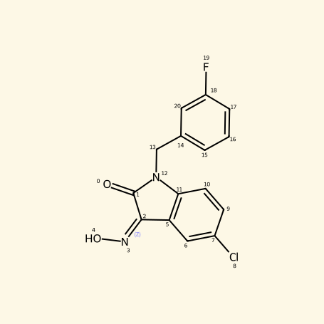 O=C1/C(=N\O)c2cc(Cl)ccc2N1Cc1cccc(F)c1